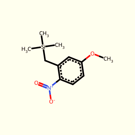 COc1ccc([N+](=O)[O-])c(C[Si](C)(C)C)c1